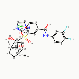 O=C(Nc1ccc(F)c(F)c1)c1ccc(Cl)c(S(=O)(=O)[C@@H]2C[C@H]3CC[C@@H](C2)[C@@]3(O)C(O)Cc2ncc[nH]2)c1